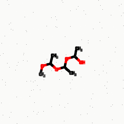 CC(O)OC(C)OC(C)OC(F)(F)F